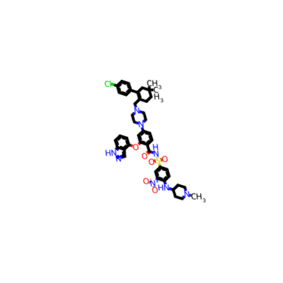 CN1CCC(Nc2ccc(S(=O)(=O)NC(=O)c3ccc(N4CCN(CC5=C(c6ccc(Cl)cc6)CC(C)(C)CC5)CC4)cc3Oc3cccc4[nH]ncc34)cc2[N+](=O)[O-])CC1